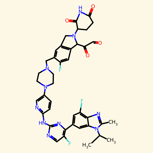 Cc1nc2c(F)cc(-c3nc(Nc4ccc(N5CCN(Cc6cc7c(cc6F)C(C(=O)C=O)N(C6CCC(=O)NC6=O)C7)CC5)cn4)ncc3F)cc2n1C(C)C